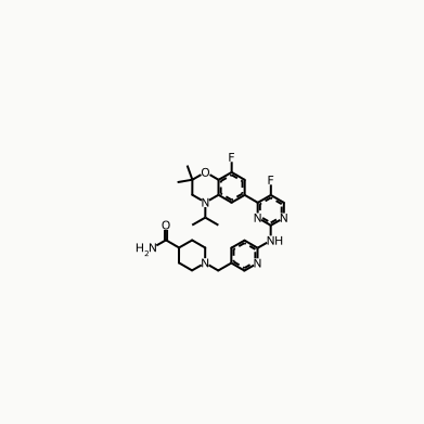 CC(C)N1CC(C)(C)Oc2c(F)cc(-c3nc(Nc4ccc(CN5CCC(C(N)=O)CC5)cn4)ncc3F)cc21